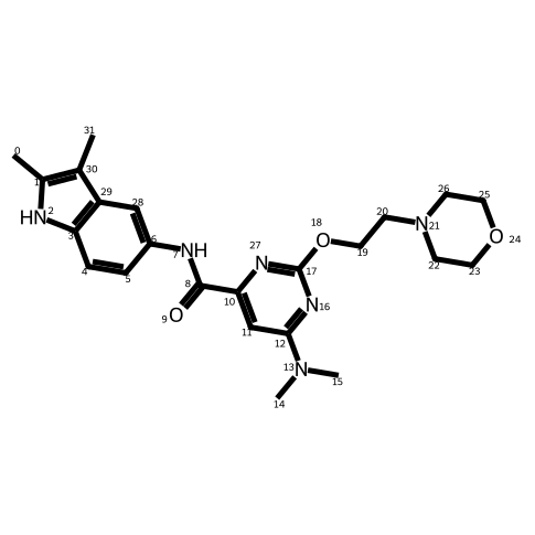 Cc1[nH]c2ccc(NC(=O)c3cc(N(C)C)nc(OCCN4CCOCC4)n3)cc2c1C